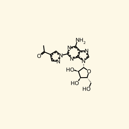 CC(=O)c1cnn(-c2nc(N)c3ncn([C@@H]4O[C@H](CO)[C@@H](O)[C@H]4O)c3n2)c1